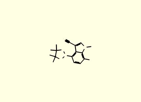 Cn1cc(C#N)c2c(B3OC(C)(C)C(C)(C)O3)ccc(F)c21